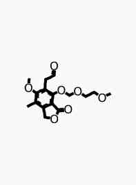 COCCOCOc1c(CC=O)c(OC)c(C)c2c1C(=O)OC2